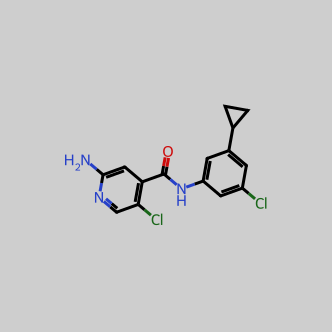 Nc1cc(C(=O)Nc2cc(Cl)cc(C3CC3)c2)c(Cl)cn1